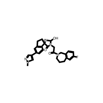 Cn1cc(-c2ccc3c(c2)CCC32NC(O)N(CC(=O)N3CCCc4cc(F)ccc4C3)C2=O)cn1